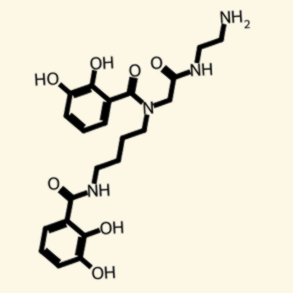 NCCNC(=O)CN(CCCCNC(=O)c1cccc(O)c1O)C(=O)c1cccc(O)c1O